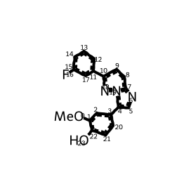 COc1cc(-c2cnc3ccc(-c4cccc(F)c4)nn23)ccc1O